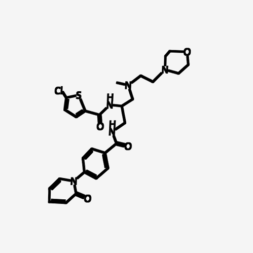 CN(CCN1CCOCC1)CC(CNC(=O)c1ccc(-n2ccccc2=O)cc1)NC(=O)c1ccc(Cl)s1